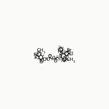 C/C=C/C1CC(OCOC(=O)COC(=O)CC[C@@H]2N=C(c3ccccn3)c3cc(Br)c(Cl)cc3-n3c(C)cnc32)C(Br)CC1C(F)(F)F